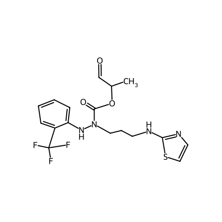 CC(C=O)OC(=O)N(CCCNc1nccs1)Nc1ccccc1C(F)(F)F